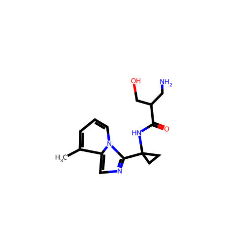 Cc1cccn2c(C3(NC(=O)C(CN)CO)CC3)ncc12